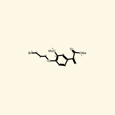 C=C(C(=O)OC)c1ccc(OCCCBr)c(OC)c1